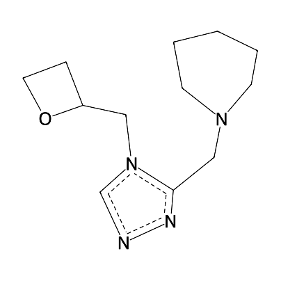 c1nnc(CN2CCCCC2)n1CC1CCO1